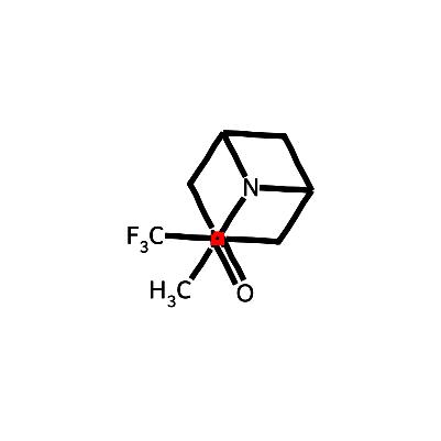 CN1CC2CC(C1)N2C(=O)C(F)(F)F